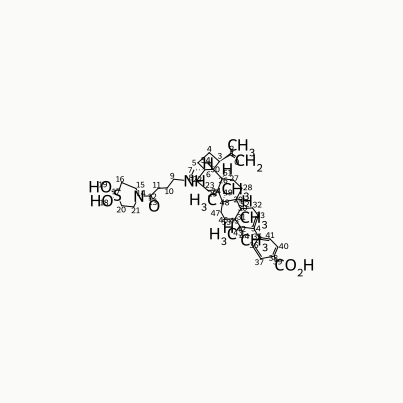 C=C(C)[C@@H]1CC[C@]2(CNCCCC(=O)N3CCS(O)(O)CC3)CC[C@]3(C)[C@H](CC[C@@H]4[C@@]5(C)CC=C(c6ccc(C(=O)O)cc6)C(C)(C)[C@@H]5CC[C@]43C)[C@@H]12